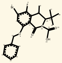 CC1c2c(F)c(Br)cc(OCc3ccccc3)c2C(=O)N(C(=O)O)C1C(C)(C)C